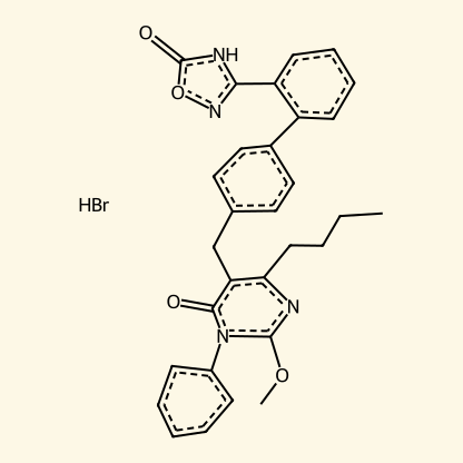 Br.CCCCc1nc(OC)n(-c2ccccc2)c(=O)c1Cc1ccc(-c2ccccc2-c2noc(=O)[nH]2)cc1